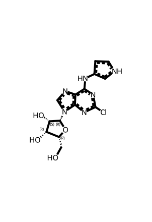 OC[C@H]1O[C@@H](n2cnc3c(Nc4cc[nH]c4)nc(Cl)nc32)[C@@H](O)[C@H]1O